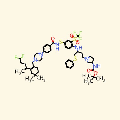 C=C(CCC(F)F)C1=C(CN2CCN(c3ccc(C(=O)NSc4ccc(NC(CCN5CCC(NC(=O)OC(C)(C)C)C5)CSc5ccccc5)c(S(=O)(=O)C(F)(F)F)c4)cc3)CC2)CCC(C)(C)C1